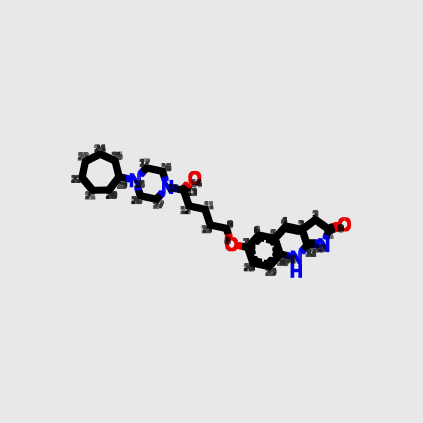 O=C1CC2=Cc3cc(OCCCCC(=O)N4CCN(C5CCCCCC5)CC4)ccc3NC2=N1